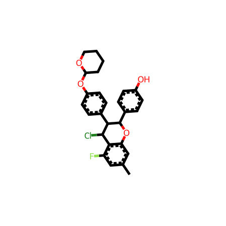 Cc1cc(F)c2c(c1)OC(c1ccc(O)cc1)C(c1ccc(OC3CCCCO3)cc1)C2Cl